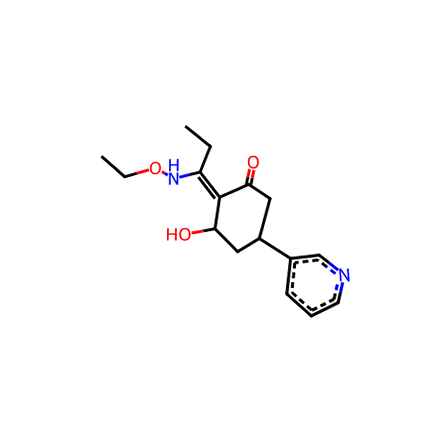 CCONC(CC)=C1C(=O)CC(c2cccnc2)CC1O